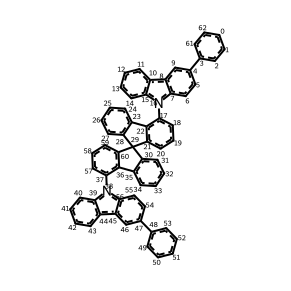 c1ccc(-c2ccc3c(c2)c2ccccc2n3-c2cccc3c2-c2ccccc2C32c3ccccc3-c3c(-n4c5ccccc5c5cc(-c6ccccc6)ccc54)cccc32)cc1